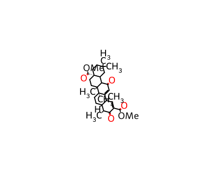 COC(=O)C1=C[C@]2(C)C3=CC(=O)C4C5CC(C)(C)CC[C@]5(C(=O)OC)CC[C@@]4(C)[C@]3(C)CC[C@H]2[C@H](C)C1=O